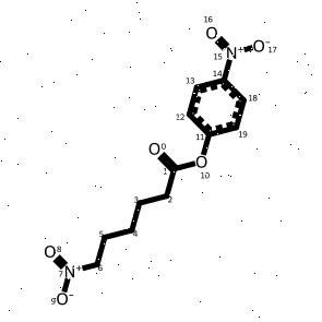 O=C(CCCCC[N+](=O)[O-])Oc1ccc([N+](=O)[O-])cc1